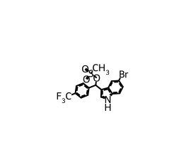 CS(=O)(=O)OC(c1ccc(C(F)(F)F)cc1)c1c[nH]c2ccc(Br)cc12